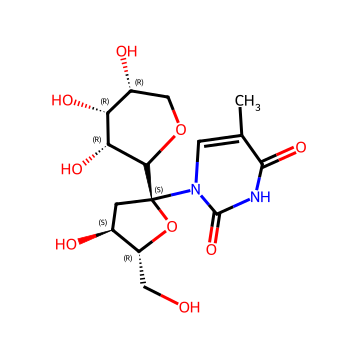 Cc1cn([C@@]2(C3OC[C@@H](O)[C@@H](O)[C@H]3O)C[C@H](O)[C@@H](CO)O2)c(=O)[nH]c1=O